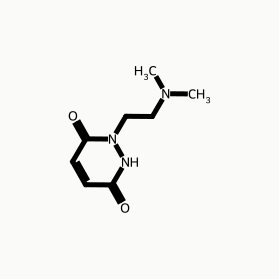 CN(C)CCn1[nH]c(=O)ccc1=O